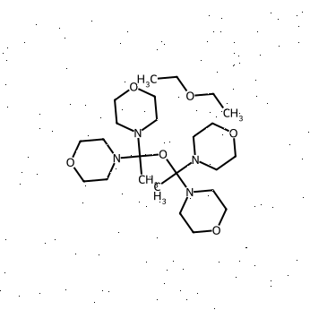 CC(OC(C)(N1CCOCC1)N1CCOCC1)(N1CCOCC1)N1CCOCC1.CCOCC